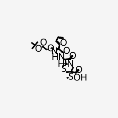 CSC1(C(=O)O)CS[C@@H]2C(NC(=O)C(=NOCC(=O)OC(C)(C)C)c3ccco3)C(=O)N2C1